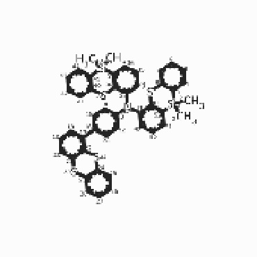 C[Si]1(C)c2ccccc2Sc2c(N(c3ccc(-c4cccc5c4Sc4ccccc4S5)cc3)c3cccc4c3Sc3ccccc3[Si]4(C)C)cccc21